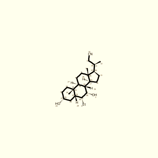 CC[C@H]1[C@@H](O)[C@@H]2[C@H](CC[C@]3(C)[C@@H]([C@H](C)CC#N)CC[C@@H]23)[C@@]2(C)CC[C@@H](O)C[C@@H]12